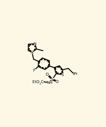 CCOC(=O)NS(=O)(=O)c1sc(CC(C)C)cc1-c1ccc(Cn2ccnc2C)c(F)c1